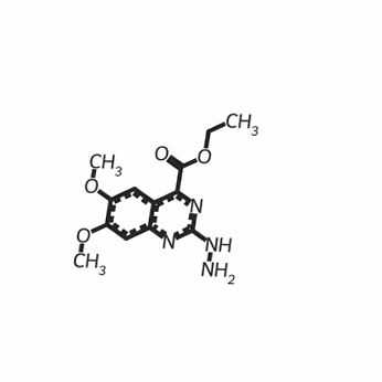 CCOC(=O)c1nc(NN)nc2cc(OC)c(OC)cc12